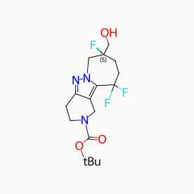 CC(C)(C)OC(=O)N1CCc2nn3c(c2C1)C(F)(F)CC[C@@](F)(CO)C3